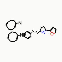 [Ni][C]1=CCCC=CCC1.[Ni][C]1=CCCC=CCC1.c1ccc([Se]CC2CCC(c3ccco3)=N2)cc1